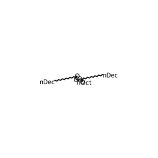 CCCCCCCCCCCCCCCCCCCCCC(=O)OC(CCCCCCCC)OC(=O)CCCCCCCCCCCCCCCCCCCCC